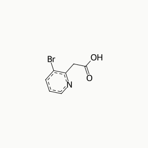 O=C(O)Cc1ncccc1Br